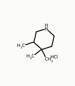 CC1CNCCC1(C)C.Cl